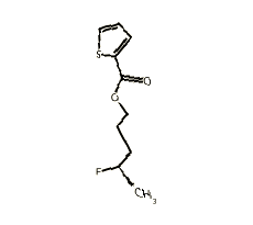 C[C@@H](F)CCCOC(=O)c1cccs1